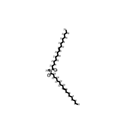 CCCCCCCCC=CCCCCCCCC(=O)N(C)C(=O)CCCCCCCC=CCCCCCCCC